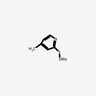 CSSc1cc(C)ccn1